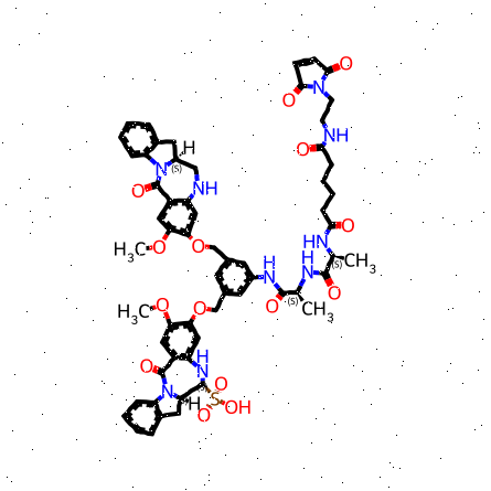 COc1cc2c(cc1OCc1cc(COc3cc4c(cc3OC)C(=O)N3c5ccccc5C[C@H]3[C@H](S(=O)(=O)O)N4)cc(NC(=O)[C@H](C)NC(=O)[C@H](C)NC(=O)CCCCC(=O)NCCN3C(=O)C=CC3=O)c1)NC[C@@H]1Cc3ccccc3N1C2=O